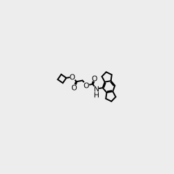 O=C(COC(=O)Nc1c2c(cc3c1CCC3)CCC2)OC1CCC1